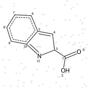 O=C(O)C1C=c2ccccc2=N1